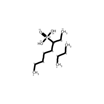 CCCC.CCCCCC(CC)P(=O)(O)O